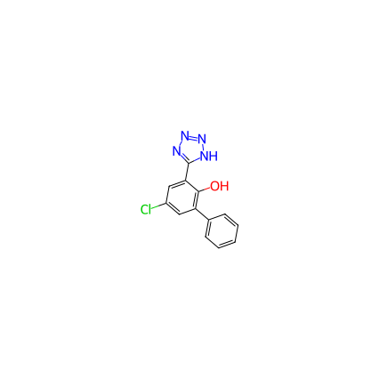 Oc1c(-c2ccccc2)cc(Cl)cc1-c1nnn[nH]1